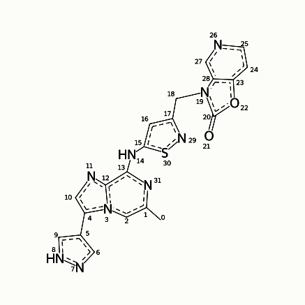 Cc1cn2c(-c3cn[nH]c3)cnc2c(Nc2cc(Cn3c(=O)oc4ccncc43)ns2)n1